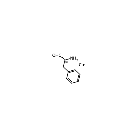 N[C@H](C=O)Cc1ccccc1.[Cu]